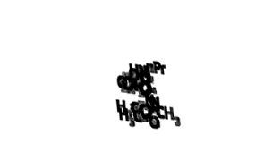 CCCc1cc2cc(-n3nc(C)c4c3CC(C)(C)CC4=O)cc(N3CCOCC3)c2c(=O)[nH]1